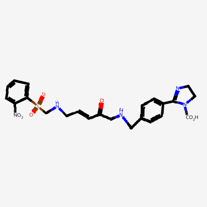 O=C(C=CCNCS(=O)(=O)c1ccccc1[N+](=O)[O-])CNCc1ccc(C2=NCCN2C(=O)O)cc1